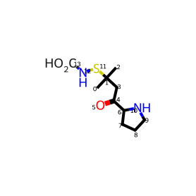 CC(C)(CC(=O)C1CCCN1)SNC(=O)O